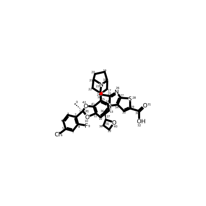 C[C@@]1(c2ccc(Cl)cc2F)Oc2cccc(N3CC4CCC(C3)N4Cc3nc4sc(C(=O)O)cc4n3C[C@@H]3CCO3)c2O1